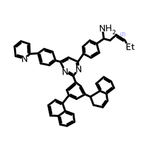 CC/C=C\CC(N)c1ccc(-c2cc(-c3ccc(-c4ccccn4)cc3)nc(-c3cc(-c4cccc5ccccc45)cc(C4CC=Cc5ccccc54)c3)n2)cc1